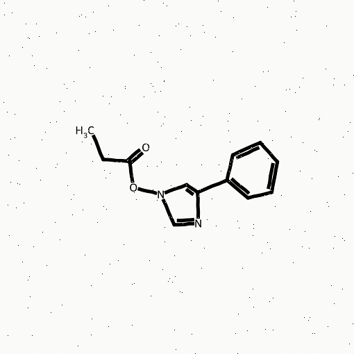 CCC(=O)On1cnc(-c2ccccc2)c1